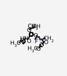 C=C/C(=C\C=C(/CF)Oc1cc(O[C@@H](C)CO)cc(C(=O)Nc2ccn(C)n2)c1)C(=O)N1CC(OC)C1